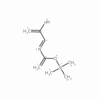 C=C(/C=N/C(=C)O[Si](C)(C)C)CCC